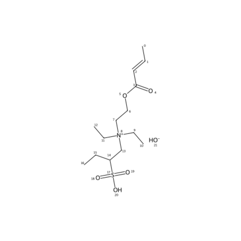 CC=CC(=O)OCC[N+](CC)(CC)CC(CC)S(=O)(=O)O.[OH-]